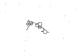 C=C1CCC(C)C/C1=C/C=C1\CCC[C@]2(C)[C@@H](C/C=C/C3(S(=O)(=O)CCCC)CC3)CC[C@@H]12